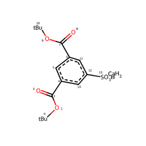 CC(C)(C)OC(=O)c1cc(C(=O)OC(C)(C)C)cc(S(=O)(=O)O)c1.[CaH2]